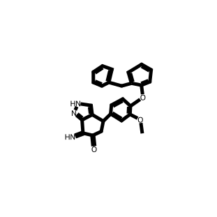 COc1cc(C2CC(=O)C(=N)c3n[nH]cc32)ccc1Oc1ccccc1Cc1ccccc1